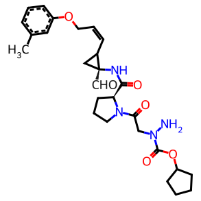 Cc1cccc(OC/C=C\C2C[C@@]2(C=O)NC(=O)[C@@H]2CCCN2C(=O)CN(N)C(=O)OC2CCCC2)c1